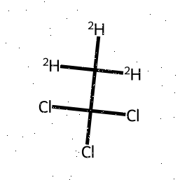 [2H]C([2H])([2H])C(Cl)(Cl)Cl